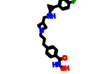 O=C(NO)c1ccc(CCCN2CC(CNC3CC3c3ccc(F)cc3)C2)cc1